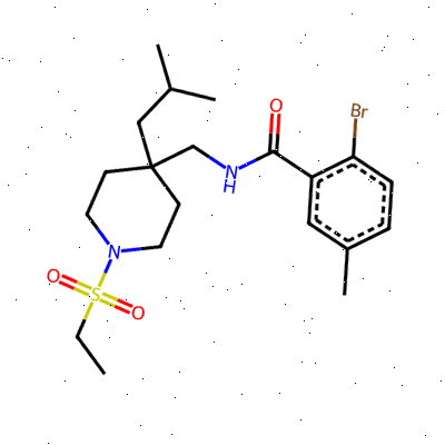 CCS(=O)(=O)N1CCC(CNC(=O)c2cc(C)ccc2Br)(CC(C)C)CC1